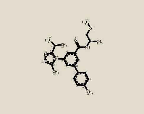 COC[C@@H](C)NC(=O)c1cc(-c2ccc(C)cc2)cc(-n2c(C)nnc2C(C)C)c1